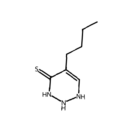 CCCCC1=CNNNC1=S